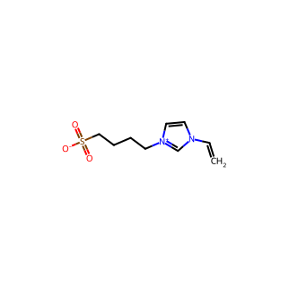 C=Cn1cc[n+](CCCCS(=O)(=O)[O-])c1